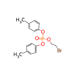 Cc1ccc(OP(=O)(OCCBr)Oc2ccc(C)cc2)cc1